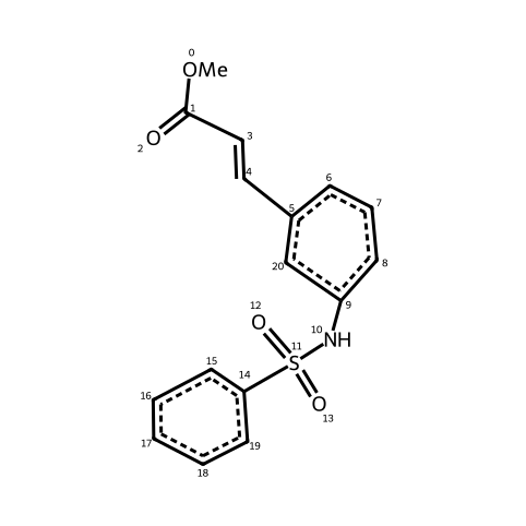 COC(=O)C=Cc1cccc(NS(=O)(=O)c2ccccc2)c1